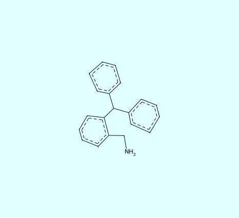 NCc1[c]cccc1C(c1ccccc1)c1ccccc1